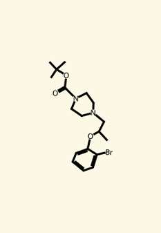 CC(CN1CCN(C(=O)OC(C)(C)C)CC1)Oc1ccccc1Br